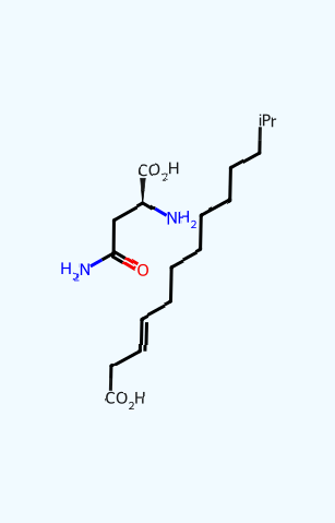 CC(C)CCCCCCCC=CCC(=O)O.NC(=O)C[C@H](N)C(=O)O